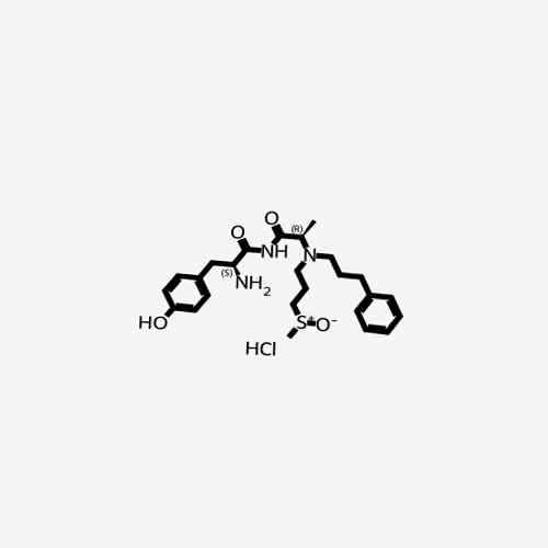 C[C@H](C(=O)NC(=O)[C@@H](N)Cc1ccc(O)cc1)N(CCCc1ccccc1)CCC[S+](C)[O-].Cl